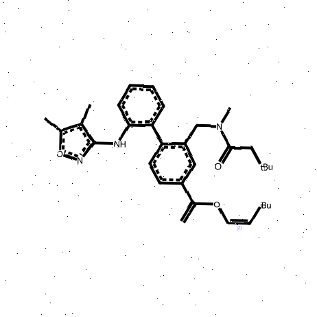 C=C(O/C=C\C(C)CC)c1ccc(-c2ccccc2Nc2noc(C)c2C)c(CN(C)C(=O)CC(C)(C)C)c1